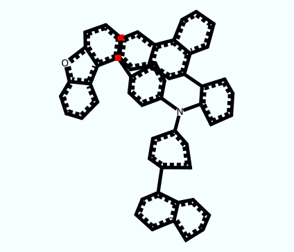 c1ccc(N(c2ccc(-c3cccc4ccccc34)cc2)c2ccc(-c3cccc4oc5ccccc5c34)cc2)c(-c2cc3ccccc3c3ccccc23)c1